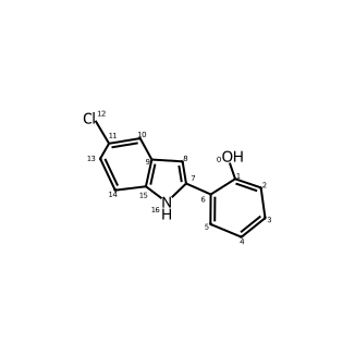 Oc1ccccc1-c1cc2cc(Cl)ccc2[nH]1